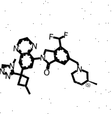 CC1CC(c2cc(N3Cc4c(cc(CN5CCC[C@H](C)C5)cc4C(F)F)C3=O)c3nccnc3c2)(c2nncn2C)C1